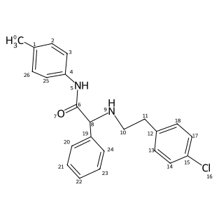 Cc1ccc(NC(=O)C(NCCc2ccc(Cl)cc2)c2ccccc2)cc1